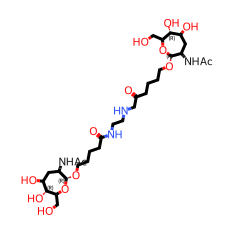 CC(=O)NC1CC(O)[C@@H](O)C(CO)O[C@H]1OCCCCC(=O)CNCCNC(=O)CCCCO[C@@H]1OC(CO)[C@H](O)C(O)CC1NC(C)=O